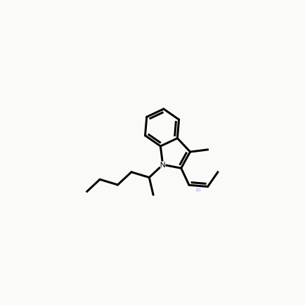 C/C=C\c1c(C)c2ccccc2n1C(C)CCCC